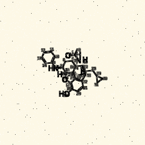 CC(=O)N[C@@]12CC[C@H](Nc3ccccc3)[C@@H]3Oc4c(O)ccc5c4[C@@]31CCN(CC1CC1)[C@@H]2C5